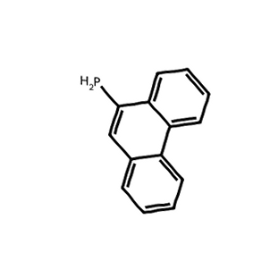 Pc1cc2ccccc2c2ccccc12